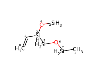 C=C[SiH](O[SiH3])[SiH2]O[SiH2]C